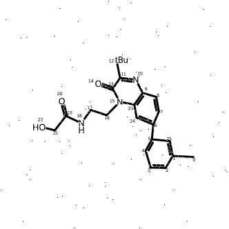 Cc1cccc(-c2ccc3nc(C(C)(C)C)c(=O)n(CCNC(=O)CO)c3c2)c1